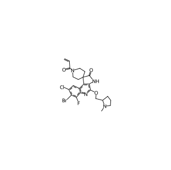 C=CC(=O)N1CCC2(CC1)C(=O)Nc1c(OCC3CCCN3C)nc3c(F)c(Br)c(Cl)cc3c12